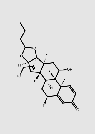 CCCC1O[C@@H]2C[C@H]3[C@@H]4C[C@H](F)C5=CC(=O)C=C[C@]5(C)[C@@]4(F)[C@H](O)C[C@]3(C)[C@]2(C(=O)CO)O1